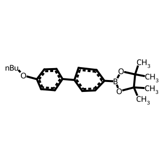 CCCCOc1ccc(-c2ccc(B3OC(C)(C)C(C)(C)O3)cc2)cc1